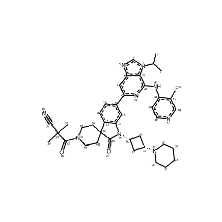 CC(C)n1cnc2cc(-c3ccc4c(c3)N([C@H]3C[C@@H](N5CCCCC5)C3)C(=O)C43CCN(C(=O)C(C)(C)C#N)CC3)nc(Nc3ccncc3F)c21